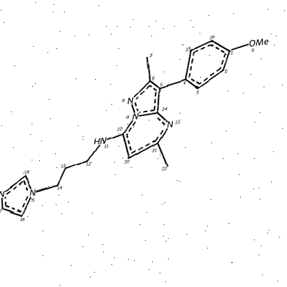 COc1ccc(-c2c(C)nn3c(NCCCn4ccnc4)cc(C)nc23)cc1